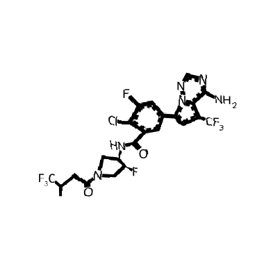 CC(CC(=O)N1C[C@H](F)[C@H](NC(=O)c2cc(-c3cc(C(F)(F)F)c4c(N)ncnn34)cc(F)c2Cl)C1)C(F)(F)F